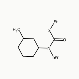 CCCN(C(=O)SCC)C1CCCC(C)C1